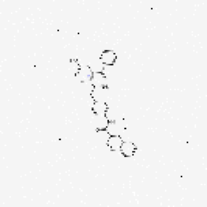 C=C(/C(CC(=O)O)=C(/C)N(N)Cc1ccc(NC(=O)c2ccc3ccccc3c2)cc1)c1ccccc1